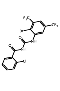 O=C(NC(=O)c1ccccc1Cl)Nc1cc(C(F)(F)F)cc(C(F)(F)F)c1Br